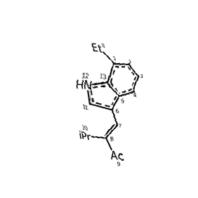 CCc1cccc2c(/C=C(/C(C)=O)C(C)C)c[nH]c12